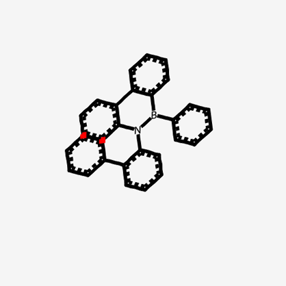 c1ccc(B2c3ccccc3-c3ccccc3N2c2ccccc2-c2ccccc2)cc1